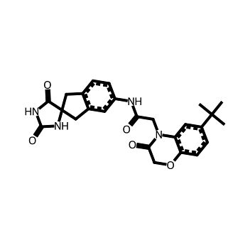 CC(C)(C)c1ccc2c(c1)N(CC(=O)Nc1ccc3c(c1)CC1(C3)NC(=O)NC1=O)C(=O)CO2